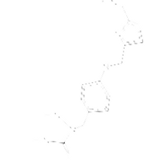 CC(=O)Nc1nc(CNc2ccc(CN(N)C(N)=O)cc2)cs1